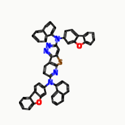 c1ccc2c(N(c3ccc4c(c3)oc3ccccc34)c3cc4sc5nc(N(c6ccc7c(c6)oc6ccccc67)c6cccc7ccccc67)ccc5c4nn3)cccc2c1